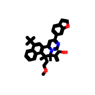 C=C(CO)C1(C)[n+]2cnc(-c3ccc4ccoc4c3)cc2-c2cc(C(C)(C)C)c3ccccc3c2C1(C)CCOC